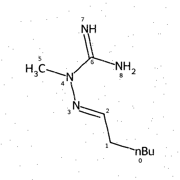 CCCCCC=NN(C)C(=N)N